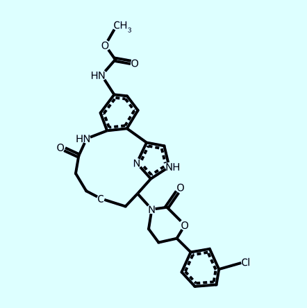 COC(=O)Nc1ccc2c(c1)NC(=O)CCCCC(N1CCC(c3cccc(Cl)c3)OC1=O)c1nc-2c[nH]1